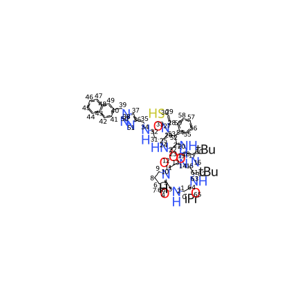 CC(C)[C@@H]1NC(=O)[C@@H]2[C@H](C)CCN2C(=O)CN/C(=N\C(C(=O)NC(C(=O)N[C@@H](/C=N/C=C\S)CC(=O)NCc2cn(Cc3ccc4ccccc4c3)nn2)[C@@H](C)c2ccccc2)C(C)(C)C)C(C(C)(C)C)NC1=O